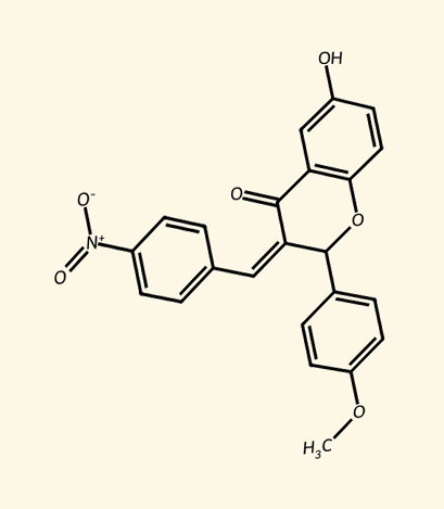 COc1ccc(C2Oc3ccc(O)cc3C(=O)C2=Cc2ccc([N+](=O)[O-])cc2)cc1